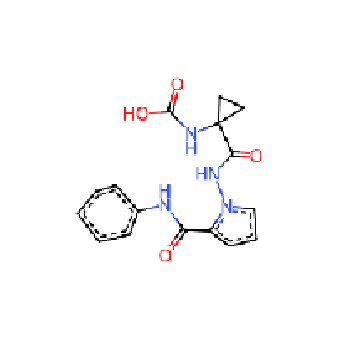 O=C(O)NC1(C(=O)Nn2cccc2C(=O)Nc2ccccc2)CC1